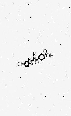 O=C(O)[C@H]1CC[C@H](C(=O)Nc2nc3cc(Cl)ccc3s2)CC1